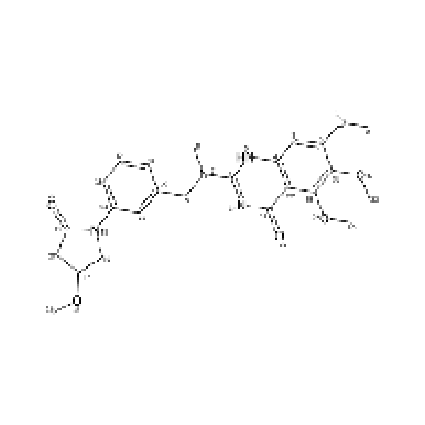 COc1cc2[nH]c(N(C)Cc3cccc(N4CC(OC)CC4=O)c3)nc(=O)c2c(OC)c1OC